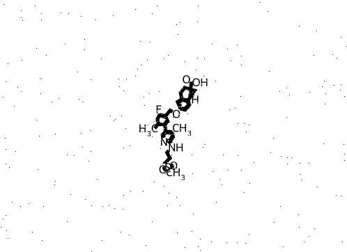 Cc1cc(NCCCS(C)(=O)=O)ncc1C1=CC(COc2ccc3c(c2)CCC2(C(=O)O)C[C@H]32)=C(F)CC1C